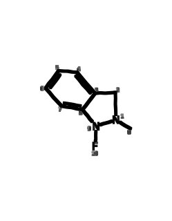 CN1Cc2ccccc2N1F